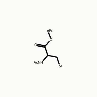 CCCCOC(=O)C(CS)NC(C)=O